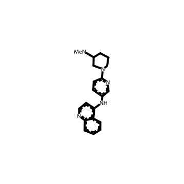 CNC1CCCN(c2ccc(Nc3ccnc4ccccc34)cn2)C1